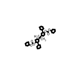 CC(C)(c1ccc(OC(=O)Oc2ccccc2)c(-c2ccccc2)c1)c1ccc(OC(=O)Oc2ccccc2)c(-c2ccccc2)c1